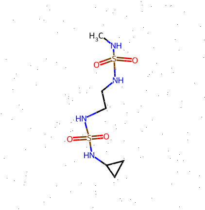 CNS(=O)(=O)NCCNS(=O)(=O)NC1CC1